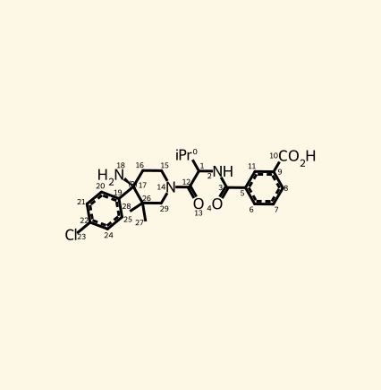 CC(C)C(NC(=O)c1cccc(C(=O)O)c1)C(=O)N1CC[C@@](N)(c2ccc(Cl)cc2)C(C)(C)C1